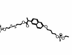 CCOP(C)(=O)OCCCCOc1ccc2cc(C(C)C(=O)OCCSSCCO[N+](=O)[O-])ccc2c1